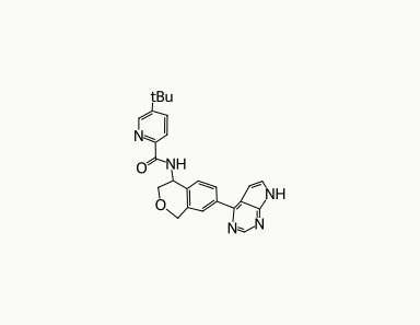 CC(C)(C)c1ccc(C(=O)NC2COCc3cc(-c4ncnc5[nH]ccc45)ccc32)nc1